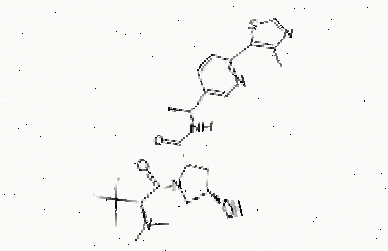 Cc1ncsc1-c1ccc([C@H](C)NC(=O)[C@@H]2C[C@@H](O)CN2C(=O)[C@@H](N(C)C)C(C)(C)C)cn1